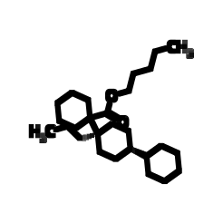 CCCCCOC(=O)C1([C@]2(CCC)CC[C@H](C3CCCCC3)CC2)CCCCC1